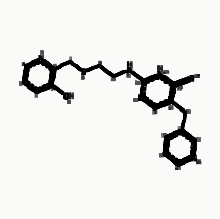 Oc1cccnc1CSCCNc1ncc(Cc2cccnc2)c(=S)[nH]1